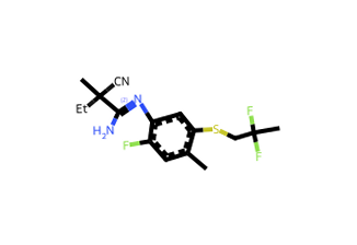 CCC(C)(C#N)/C(N)=N/c1cc(SCC(C)(F)F)c(C)cc1F